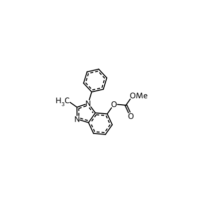 COC(=O)Oc1cccc2nc(C)n(-c3ccccc3)c12